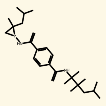 C=C(NP1CC1(C)CC(C)C)c1ccc(C(=C)NC(C)(C)C(C)(C)CC(C)C)cc1